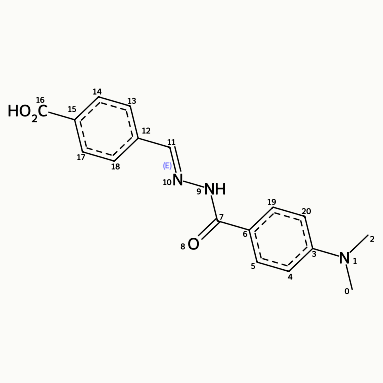 CN(C)c1ccc(C(=O)N/N=C/c2ccc(C(=O)O)cc2)cc1